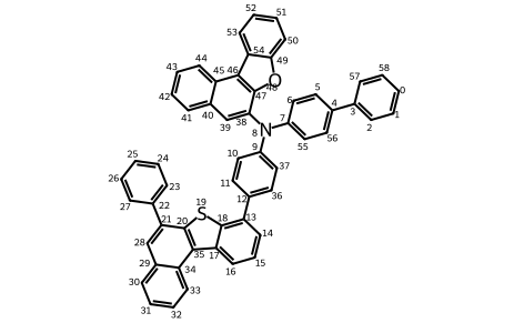 c1ccc(-c2ccc(N(c3ccc(-c4cccc5c4sc4c(-c6ccccc6)cc6ccccc6c45)cc3)c3cc4ccccc4c4c3oc3ccccc34)cc2)cc1